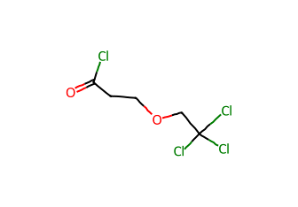 O=C(Cl)CCOCC(Cl)(Cl)Cl